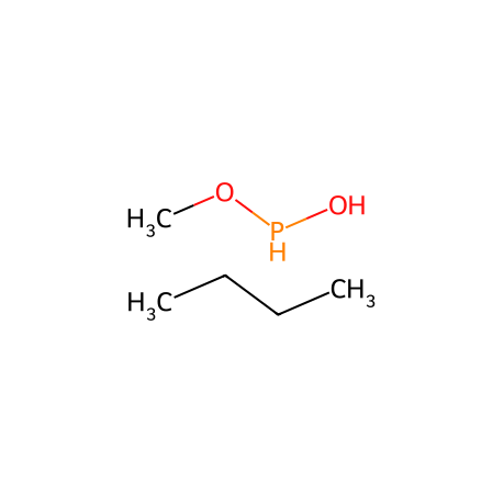 CCCC.COPO